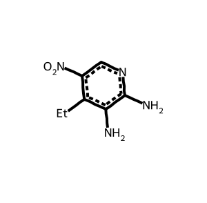 CCc1c([N+](=O)[O-])cnc(N)c1N